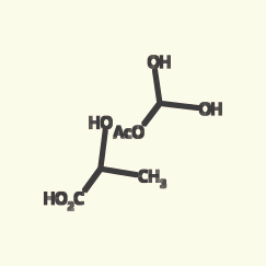 CC(=O)OC(O)O.CC(O)C(=O)O